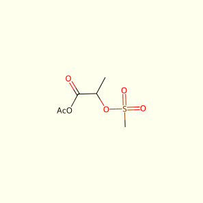 CC(=O)OC(=O)C(C)OS(C)(=O)=O